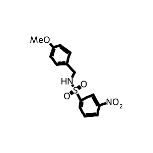 COc1ccc(CNS(=O)(=O)c2cccc([N+](=O)[O-])c2)cc1